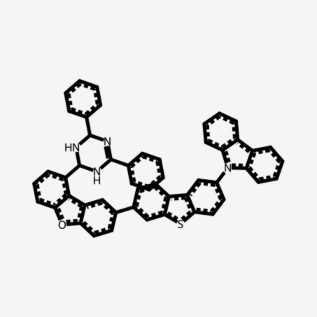 c1ccc(C2=NC(c3ccccc3)NC(c3cccc4oc5ccc(-c6ccc7c(c6)sc6ccc(-n8c9ccccc9c9ccccc98)cc67)cc5c34)N2)cc1